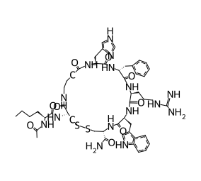 CCCC[C@H](NC(C)=O)C(=O)N[C@H]1CSSC[C@@H](C(N)=O)NC(=O)[C@H](Cc2c[nH]c3ccccc23)NC(=O)[C@H](CCCNC(=N)N)NC(=O)[C@@H](Cc2ccccc2)NC(=O)[C@H](Cc2c[nH]cn2)NC(=O)CCCNC1=O